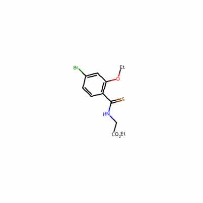 CCOC(=O)CNC(=S)c1ccc(Br)cc1OCC